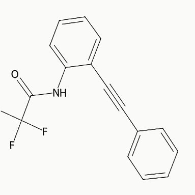 O=C(Nc1ccccc1C#Cc1ccccc1)C(F)(F)F